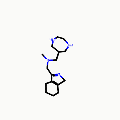 CN(CC1=NCC2=C1CCCC2)CC1CNCCNC1